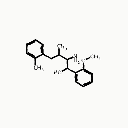 COc1ccccc1C(O)C(N)C(C)Cc1ccccc1C